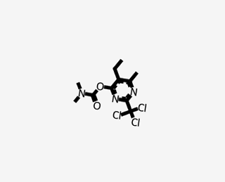 CCc1c(C)nc(C(Cl)(Cl)Cl)nc1OC(=O)N(C)C